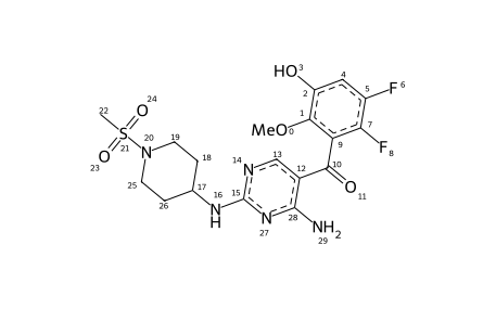 COc1c(O)cc(F)c(F)c1C(=O)c1cnc(NC2CCN(S(C)(=O)=O)CC2)nc1N